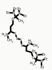 CCN(CC)C(C)(OCCC([SiH2]C)SSSSC(CCOC(C)(N(CC)CC)N(CC)CC)[SiH2]C)N(CC)CC